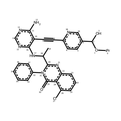 CC(C)OC(O)c1ccc(C#Cc2c(N)ncnc2NC(C)c2nc3cccc(Cl)c3c(=O)n2-c2ccccc2)nc1